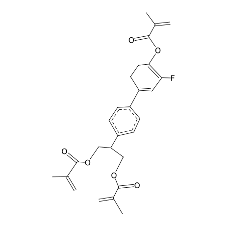 C=C(C)C(=O)OCC(COC(=O)C(=C)C)c1ccc(C2=CC(F)=C(OC(=O)C(=C)C)CC2)cc1